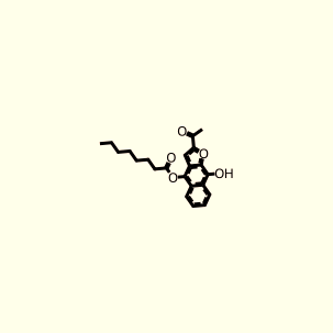 CCCCCCCC(=O)Oc1c2ccccc2c(O)c2oc(C(C)=O)cc12